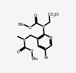 CCOC(=O)CN(C(=O)OC(C)(C)C)c1ncc(Br)cc1CN(C)C(=O)OC(C)(C)C